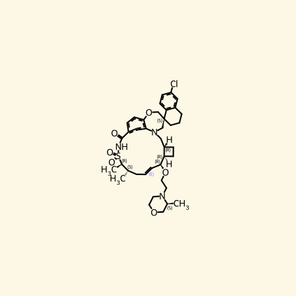 C[C@@H]1[C@@H](C)C/C=C/[C@H](OCCN2CCOC[C@@H]2C)[C@@H]2CC[C@H]2CN2C[C@@]3(CCCc4cc(Cl)ccc43)COc3ccc(cc32)C(=O)NS1(=O)=O